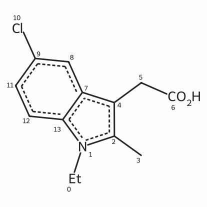 CCn1c(C)c(CC(=O)O)c2cc(Cl)ccc21